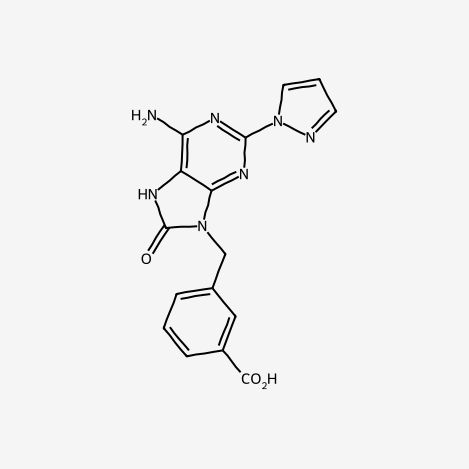 Nc1nc(-n2cccn2)nc2c1[nH]c(=O)n2Cc1cccc(C(=O)O)c1